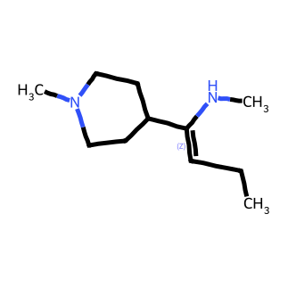 CC/C=C(\NC)C1CCN(C)CC1